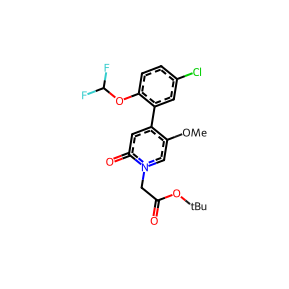 COc1cn(CC(=O)OC(C)(C)C)c(=O)cc1-c1cc(Cl)ccc1OC(F)F